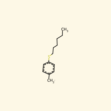 [CH2]c1ccc(SCCCCCC)cc1